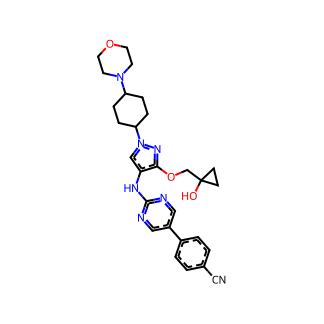 N#Cc1ccc(-c2cnc(Nc3cn(C4CCC(N5CCOCC5)CC4)nc3OCC3(O)CC3)nc2)cc1